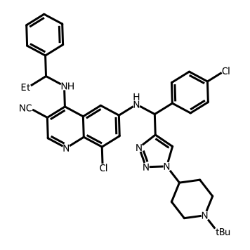 CCC(Nc1c(C#N)cnc2c(Cl)cc(NC(c3ccc(Cl)cc3)c3cn(C4CCN(C(C)(C)C)CC4)nn3)cc12)c1ccccc1